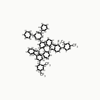 FC(F)(F)c1ccc(-c2ccc3c(c2)c2ccccc2n3-c2cnccc2-c2ccc(-c3nc(-c4ccccc4)nc(-c4ccccc4)n3)cc2-n2c3ccccc3c3cc(-c4ccc(C(F)(F)F)cc4C(F)(F)F)ccc32)c(C(F)(F)F)c1